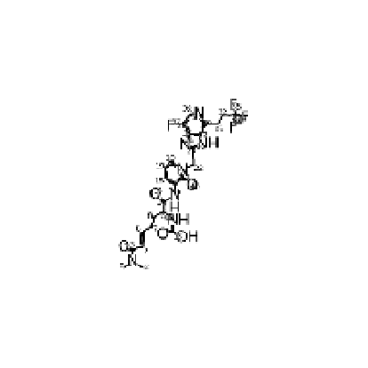 CN(C)C(=O)/C=C/CCC(NC(=O)O)C(=O)Nc1cccn(Cc2nc3c(F)cnc(CCC(F)(F)F)c3[nH]2)c1=O